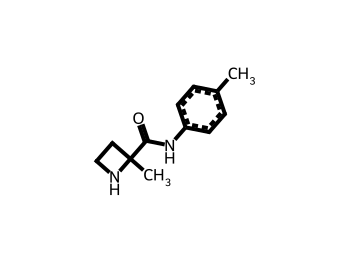 Cc1ccc(NC(=O)C2(C)CCN2)cc1